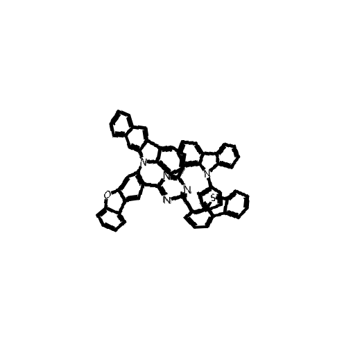 c1ccc(-n2c3ccccc3c3cccc(-c4nc(-c5cc6c(cc5-n5c7ccccc7c7cc8ccccc8cc75)oc5ccccc56)nc(-c5cccc6c5sc5ccccc56)n4)c32)cc1